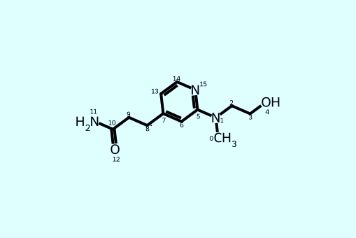 CN(CCO)c1cc([CH]CC(N)=O)ccn1